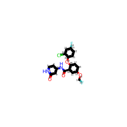 O=C(Nc1cc[nH]c(=O)c1)c1cc(OCF)ccc1Oc1ccc(F)cc1Cl